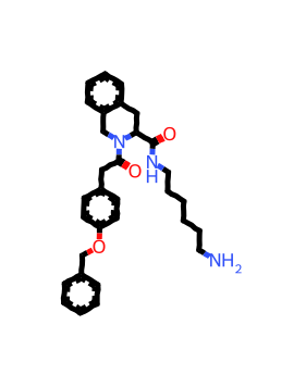 NCCCCCCNC(=O)C1Cc2ccccc2CN1C(=O)Cc1ccc(OCc2ccccc2)cc1